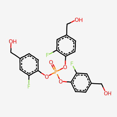 O=P(Oc1ccc(CO)cc1F)(Oc1ccc(CO)cc1F)Oc1ccc(CO)cc1F